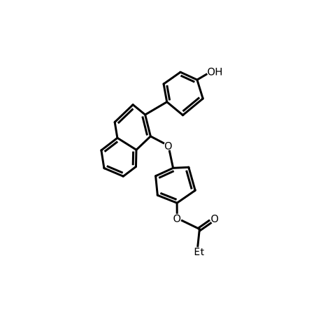 CCC(=O)Oc1ccc(Oc2c(-c3ccc(O)cc3)ccc3ccccc23)cc1